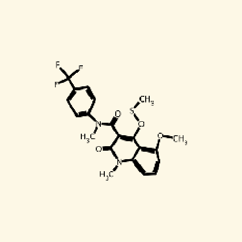 COc1cccc2c1c(OSC)c(C(=O)N(C)c1ccc(C(F)(F)F)cc1)c(=O)n2C